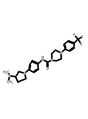 CN(C)C1CCN(c2ccc(NC(=O)N3CCN(c4ccc(C(F)(F)F)cc4)CC3)cc2)C1